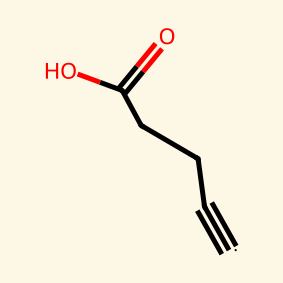 [C]#CCCC(=O)O